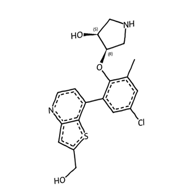 Cc1cc(Cl)cc(-c2ccnc3cc(CO)sc23)c1O[C@@H]1CNC[C@@H]1O